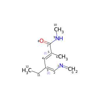 C=N/C=C(\C=C(/C)C(=O)NC)CC